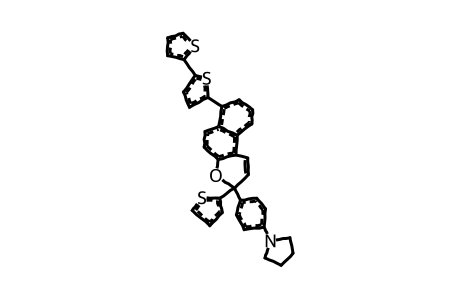 C1=CC(c2ccc(N3CCCC3)cc2)(c2cccs2)Oc2ccc3c(-c4ccc(-c5cccs5)s4)cccc3c21